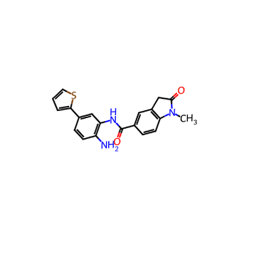 CN1C(=O)Cc2cc(C(=O)Nc3cc(-c4cccs4)ccc3N)ccc21